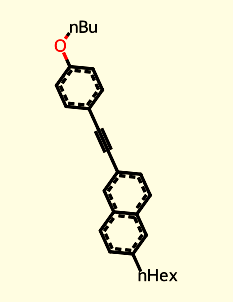 CCCCCCc1ccc2cc(C#Cc3ccc(OCCCC)cc3)ccc2c1